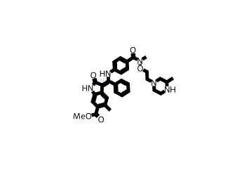 COC(=O)c1cc2c(cc1C)/C(=C(/Nc1ccc(C(=O)N(C)OCCN3CCNC(C)C3)cc1)c1ccccc1)C(=O)N2